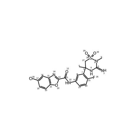 CN1C(=N)NC(C)(c2cc(NC(=O)c3nc4cc(Cl)ccc4o3)ccc2F)CS1(=O)=O